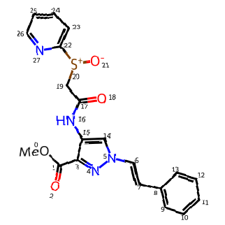 COC(=O)c1nn(C=Cc2ccccc2)cc1NC(=O)C[S+]([O-])c1ccccn1